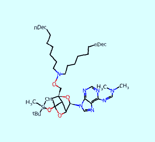 CCCCCCCCCCCCCCCCN(CCCCCCCCCCCCCCCC)OC[C@]12CC3(O[Si](C)(C)C(C)(C)C)OC(C31)[C@H](n1cnc3c(/N=C\N(C)C)ncnc31)O2